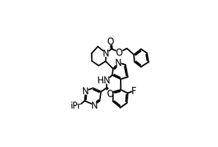 CC(C)c1ncc(C(=O)Nc2c(-c3ccccc3F)ccnc2C2CCCCN2C(=O)OCc2ccccc2)cn1